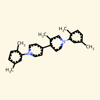 Cc1ccc(C)c(-[n+]2ccc(-c3cc[n+](-c4cc(C)ccc4C)cc3C)cc2)c1